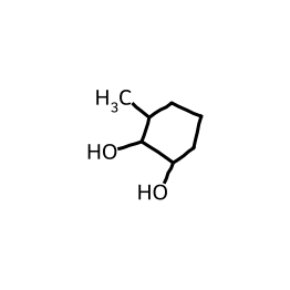 CC1CCCC(O)C1O